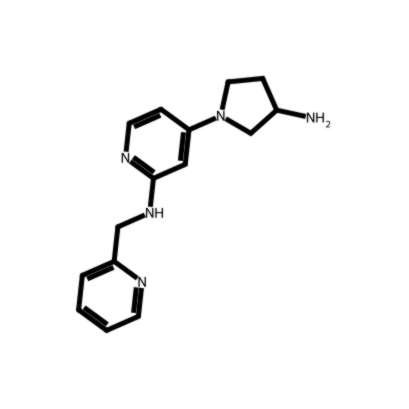 NC1CCN(c2ccnc(NCc3ccccn3)c2)C1